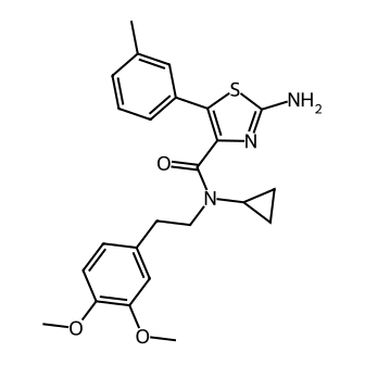 COc1ccc(CCN(C(=O)c2nc(N)sc2-c2cccc(C)c2)C2CC2)cc1OC